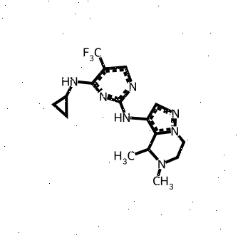 CC1c2c(Nc3ncc(C(F)(F)F)c(NC4CC4)n3)cnn2CCN1C